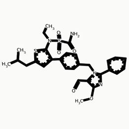 CCN(c1sc(CC(C)C)cc1-c1ccc(Cn2c(-c3ccccc3)nc(OC)c2C=O)cc1)S(=O)(=O)C(N)=O